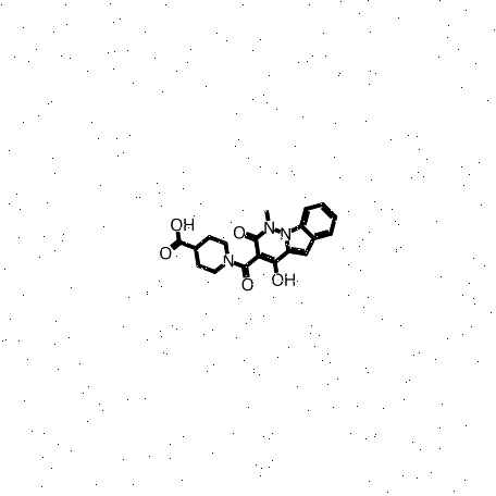 Cn1c(=O)c(C(=O)N2CCC(C(=O)O)CC2)c(O)c2cc3ccccc3n21